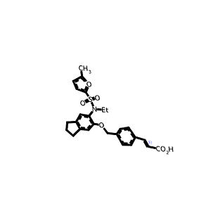 CCN(c1cc2c(cc1OCc1ccc(/C=C/C(=O)O)cc1)CCC2)S(=O)(=O)c1ccc(C)o1